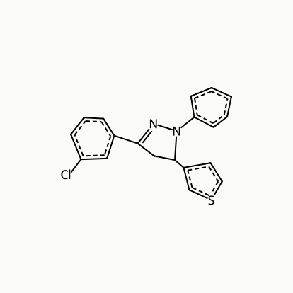 Clc1cccc(C2=NN(c3ccccc3)C(c3ccsc3)C2)c1